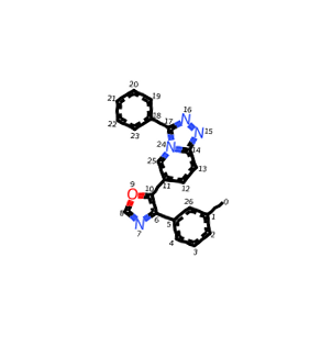 Cc1cccc(-c2ncoc2-c2ccc3nnc(-c4ccccc4)n3c2)c1